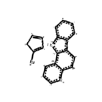 [Ru][C]1=CC=CC1.c1ccc2c(c1)[nH]c1c3cccnc3ccc21